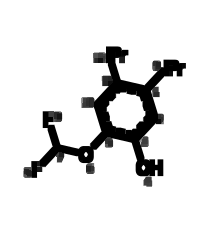 CC(C)c1cc(O)c(OC(F)F)cc1C(C)C